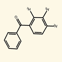 [2H]c1ccc(C(=O)c2ccccc2)c([2H])c1[2H]